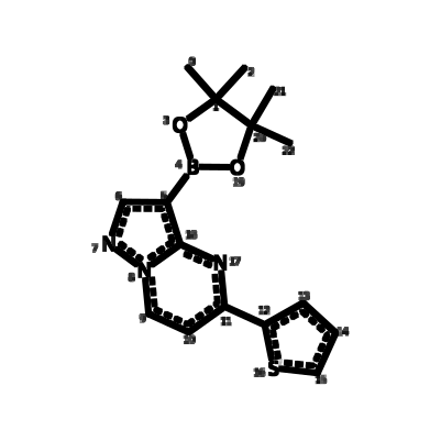 CC1(C)OB(c2cnn3ccc(-c4cccs4)nc23)OC1(C)C